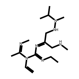 C=CN(/C(C)=N\C)C(/N=C(\CNC)CNN(C)C(C)C)=N/CC